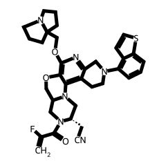 C=C(F)C(=O)N1CC2COc3c(OCC45CCCN4CCC5)nc4c(c3N2C[C@@H]1CC#N)CCN(c1cccc2sccc12)C4